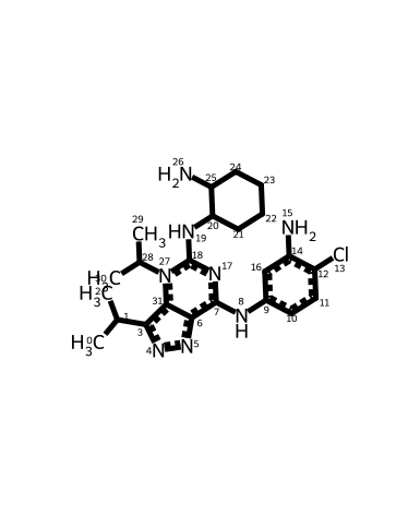 CC(C)c1nnc2c(Nc3ccc(Cl)c(N)c3)nc(NC3CCCCC3N)n(C(C)C)c1-2